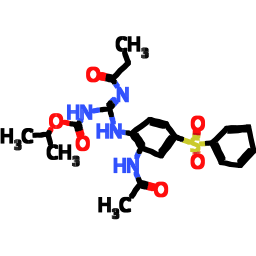 CCC(=O)N=C(NC(=O)OC(C)C)Nc1ccc(S(=O)(=O)c2ccccc2)cc1NC(C)=O